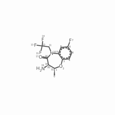 C[C@@H]1Oc2ccc(F)cc2N(CC(F)(F)F)C(=O)[C@@H]1N